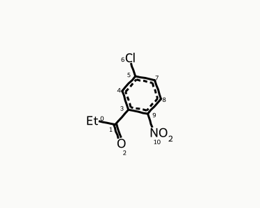 CCC(=O)c1cc(Cl)ccc1[N+](=O)[O-]